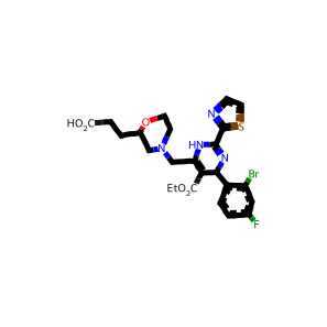 CCOC(=O)C1=C(CN2CCOC(CCC(=O)O)C2)NC(c2nccs2)=NC1c1ccc(F)cc1Br